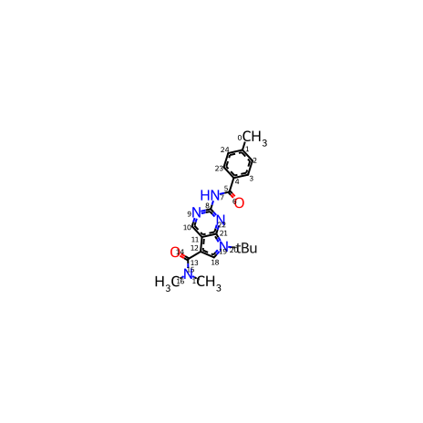 Cc1ccc(C(=O)Nc2ncc3c(C(=O)N(C)C)cn(C(C)(C)C)c3n2)cc1